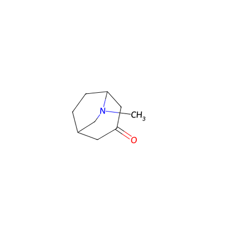 CN1CC2CCC1CC(=O)C2